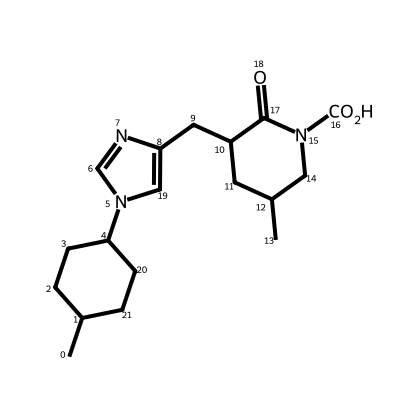 CC1CCC(n2cnc(CC3CC(C)CN(C(=O)O)C3=O)c2)CC1